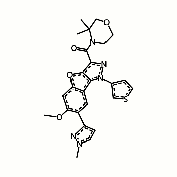 COc1cc2oc3c(C(=O)N4CCOCC4(C)C)nn(-c4ccsc4)c3c2cc1-c1ccn(C)n1